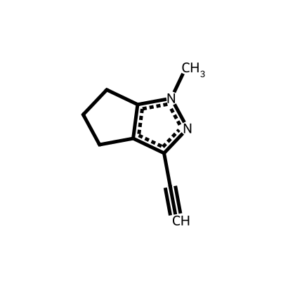 C#Cc1nn(C)c2c1CCC2